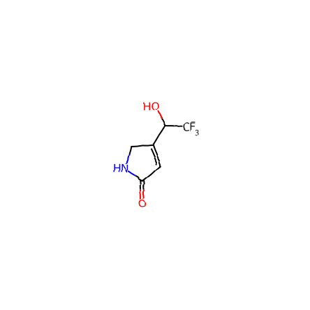 O=C1C=C(C(O)C(F)(F)F)CN1